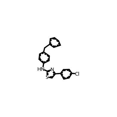 Clc1ccc(-c2csc(Nc3ccc(Cc4ccccc4)cc3)n2)cc1